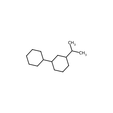 CC(C)C1CCCC(C2CCCCC2)C1